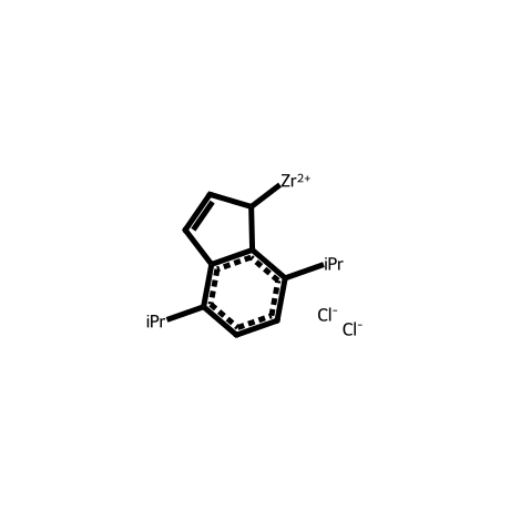 CC(C)c1ccc(C(C)C)c2c1C=C[CH]2[Zr+2].[Cl-].[Cl-]